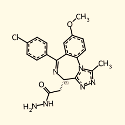 COc1ccc2c(c1)C(c1ccc(Cl)cc1)=N[C@@H](CC(=O)NN)c1nnc(C)n1-2